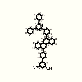 N#Cc1cc(C#N)cc(-c2ccc(-c3cc4c5ccccc5c(-c5cccc(-c6nc(-c7ccccc7)nc(-c7ccccc7)n6)c5)cc4c4cccnc34)cc2)c1